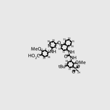 COc1cc(Nc2cc(Oc3ccc(NC(=O)Nc4cc(C(C)(C)C)cc(S(C)(=O)=O)c4OC)c4ccccc34)ccn2)ccc1C(=O)O